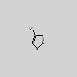 BrC1=CSN[C]1